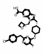 O=C(O)c1ccc2nc(C[C@H]3CC[C@H](Oc4nc(Cc5ccc(Cl)cc5)ncc4F)CC3)n(C[C@@H]3CCO3)c2n1